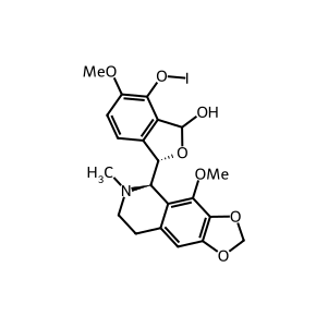 COc1ccc2c(c1OI)C(O)O[C@@H]2[C@H]1c2c(cc3c(c2OC)OCO3)CCN1C